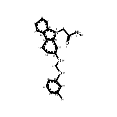 CNC(=O)Cn1c2ccccc2c2ccc(OCOc3cccc(C)c3)cc21